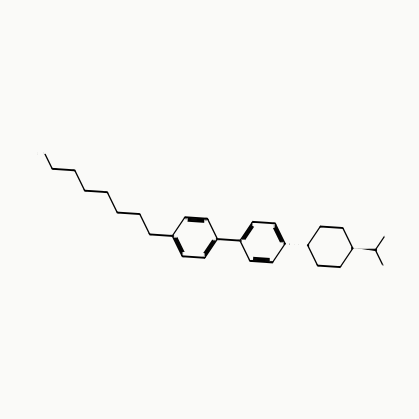 CCCCCCCCc1ccc(-c2ccc([C@H]3CC[C@H](C(F)F)CC3)cc2)cc1